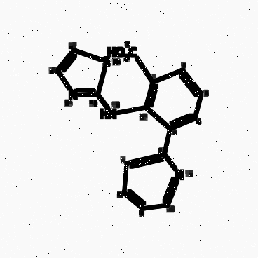 O=C(O)c1cccc(-c2ccccn2)c1Nc1nccs1